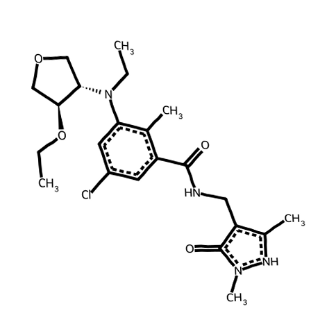 CCO[C@H]1COC[C@@H]1N(CC)c1cc(Cl)cc(C(=O)NCc2c(C)[nH]n(C)c2=O)c1C